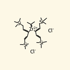 C[C](C)=[Zr+2]([C](=C\C[Si](C)(C)C)/C=C/[Si](C)(C)C)[C](=C\C[Si](C)(C)C)/C=C/[Si](C)(C)C.[Cl-].[Cl-]